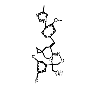 COc1cc(/C=C2\CC3(CC3)CN3C2=NOCC3(CO)c2cc(F)cc(F)c2)ccc1-n1cnc(C)c1